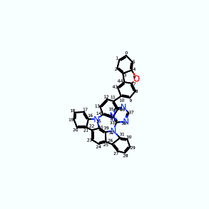 c1ccc2c(c1)oc1ccc(-c3ccc(-n4c5ccccc5c5ccc6c7ccccc7n(-c7ncncn7)c6c54)cc3)cc12